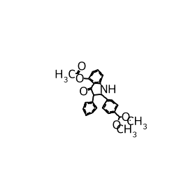 COC(OC)c1ccc(C2Nc3cccc(OC(C)=O)c3C(=O)C2c2ccccc2)cc1